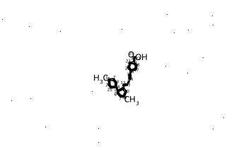 Cc1ccc(-c2ccc(C)cc2C=CC#Cc2ccc(C(=O)O)cc2)cc1